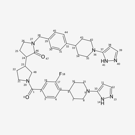 O=C(c1ccc(C2CCN(c3ccn[nH]3)CC2)c(F)c1)N1CCC(C2CCN(Cc3ccc(C4CCN(c5ccn[nH]5)CC4)cc3)C2=O)C1